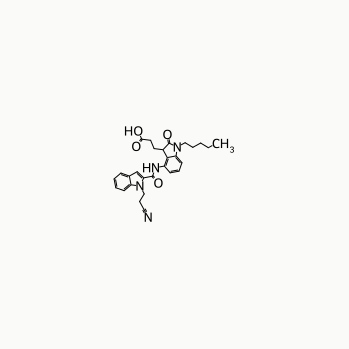 CCCCCN1C(=O)C(CCC(=O)O)c2c(NC(=O)c3cc4ccccc4n3CCC#N)cccc21